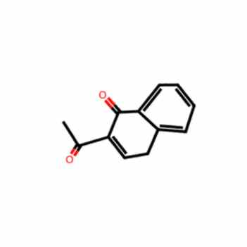 CC(=O)C1=CCc2ccccc2C1=O